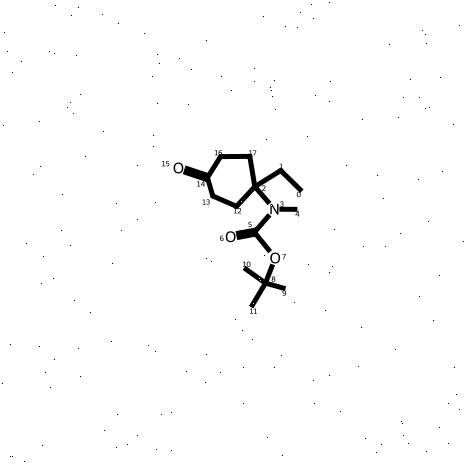 CCC1(N(C)C(=O)OC(C)(C)C)CCC(=O)CC1